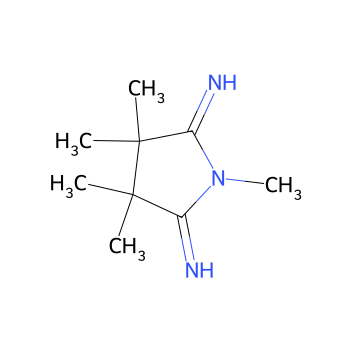 CN1C(=N)C(C)(C)C(C)(C)C1=N